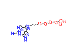 N#CCCNc1nccc(-c2cn(CCCCCCOCCOCCOCCOCC(=O)O)nc2-c2cnc3[nH]ccc3c2)n1